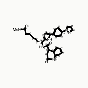 CNC(=O)CCCCC[C@H](NC(=O)C1CC(=O)Nc2ccccc21)c1ncc(-c2ccc(-n3cccn3)cc2)[nH]1